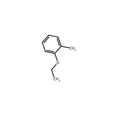 CCOc1c[c]ccc1C